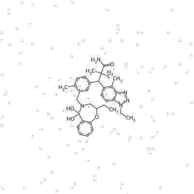 CCC1CN(Cc2cc(C(c3ccc4c(nnn4CC)c3C)C(C)(C)C(N)=O)ccc2C)S(O)(O)c2ccccc2O1